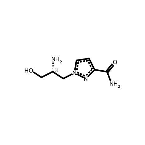 NC(=O)c1ccn(C[C@@H](N)CO)n1